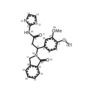 CCOc1ccc(C(CC(=O)Nc2nccs2)N2Cc3ccccc3C2=O)cc1OC